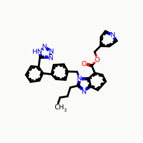 CCCCc1nc2cccc(C(=O)OCc3ccncc3)c2n1Cc1ccc(-c2ccccc2-c2nnn[nH]2)cc1